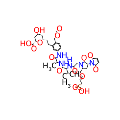 CC(C)[C@H](NC(=O)CN1C(=O)[C@@H](N2C(=O)C=CC2=O)C[C@H]1COCCS(=O)O)C(=O)N[C@@H](C)C(=O)Nc1ccc(COC=O)c(CC[C@H]2C[C@@H](O)C[C@@H](C(=O)O)O2)c1